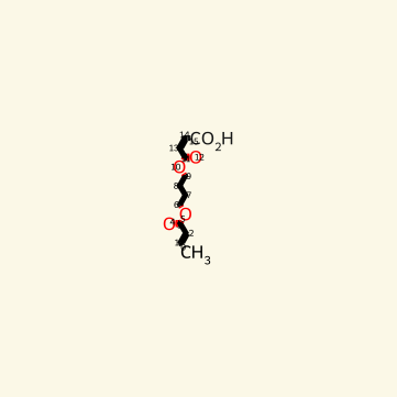 CC=CC(=O)OCCCCOC(=O)/C=C\C(=O)O